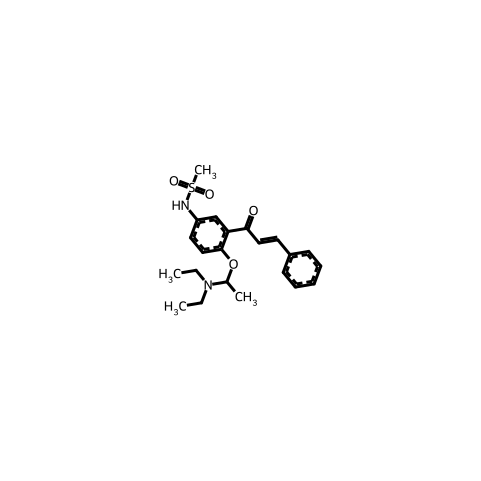 CCN(CC)C(C)Oc1ccc(NS(C)(=O)=O)cc1C(=O)C=Cc1ccccc1